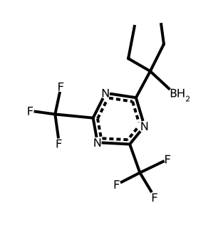 BC(CC)(CC)c1nc(C(F)(F)F)nc(C(F)(F)F)n1